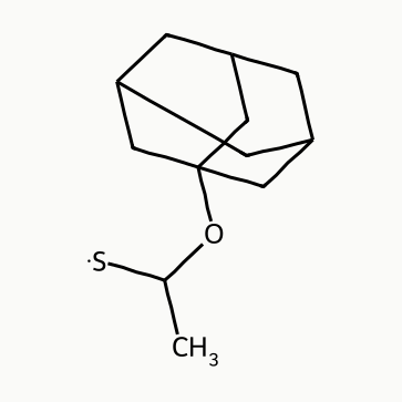 CC([S])OC12CC3CC(CC(C3)C1)C2